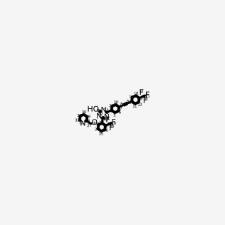 Oc1nc(-c2ccc(C#Cc3ccc(C(F)(F)F)cc3)cc2)nc(-c2c(OCc3ccccn3)cccc2C(F)(F)F)n1